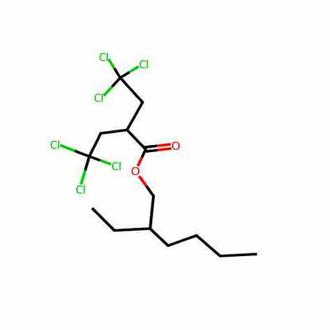 CCCCC(CC)COC(=O)C(CC(Cl)(Cl)Cl)CC(Cl)(Cl)Cl